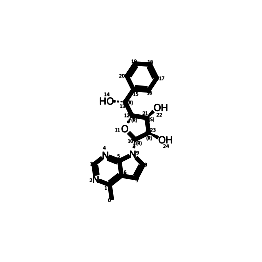 Cc1ncnc2c1ccn2[C@@H]1O[C@H]([C@H](O)c2ccccc2)[C@@H](O)[C@H]1O